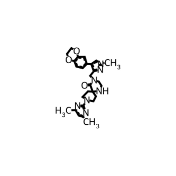 Cc1cc(C)nc(N2CCC3(CC2)NCCN(Cc2nn(C)cc2-c2ccc4c(c2)OCCO4)C3=O)n1